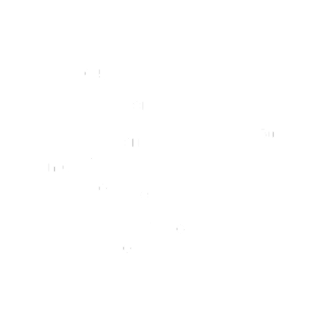 CC(O)CC(C)(C)OOC(=O)OC1CCC(C(C)(C)C)CC1